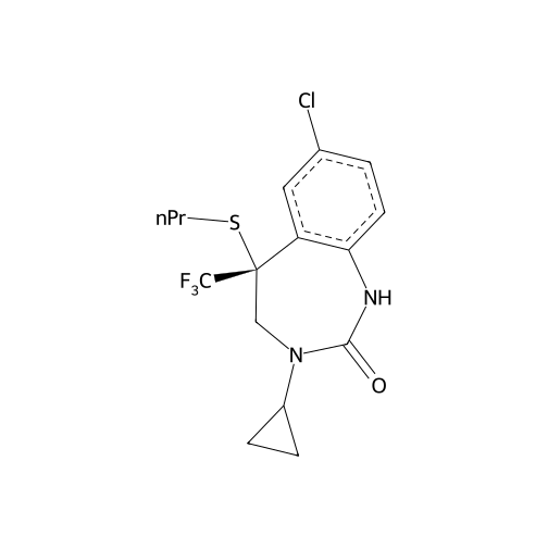 CCCS[C@@]1(C(F)(F)F)CN(C2CC2)C(=O)Nc2ccc(Cl)cc21